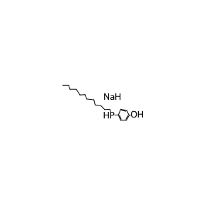 CCCCCCCCCCCCPc1ccc(O)cc1.[NaH]